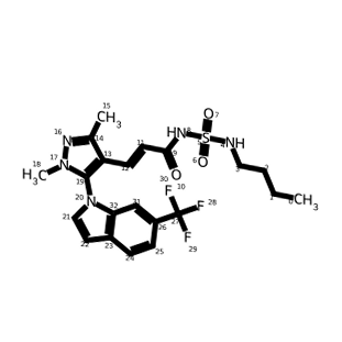 CCCCNS(=O)(=O)NC(=O)C=Cc1c(C)nn(C)c1-n1ccc2ccc(C(F)(F)F)cc21